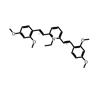 CC[n+]1c(/C=C/c2ccc(OC)cc2OC)cccc1/C=C/c1ccc(OC)cc1OC